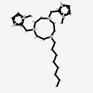 CCCCCCCCN1CCN(Cc2nccn2C)CCN(Cc2nccn2C)CC1